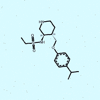 CCS(=O)(=O)N[C@H]1CNCC[C@@H]1COc1ccc(C(C)C)cc1